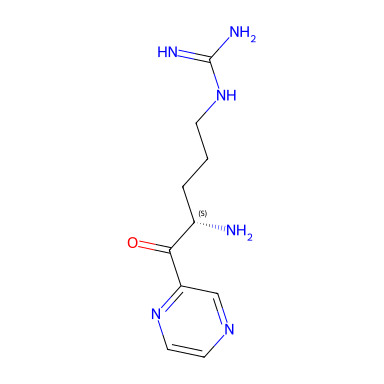 N=C(N)NCCC[C@H](N)C(=O)c1cnccn1